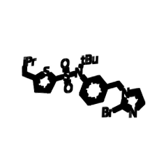 CC(C)Cc1ccc(S(=O)(=O)N(c2cccc(Cn3ccnc3Br)c2)C(C)(C)C)s1